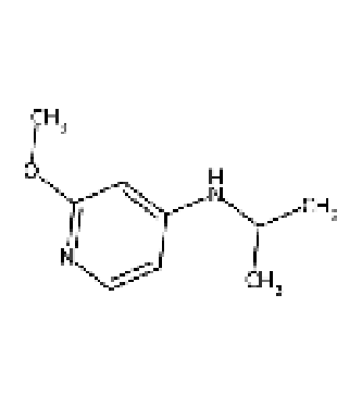 COc1cc(NC(C)C)ccn1